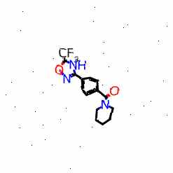 O=C(c1ccc(C2=NOC(C(F)(F)F)N2)cc1)N1CCCCC1